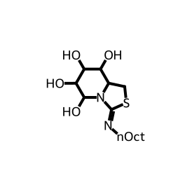 CCCCCCCCN=C1SCC2C(O)C(O)C(O)C(O)N12